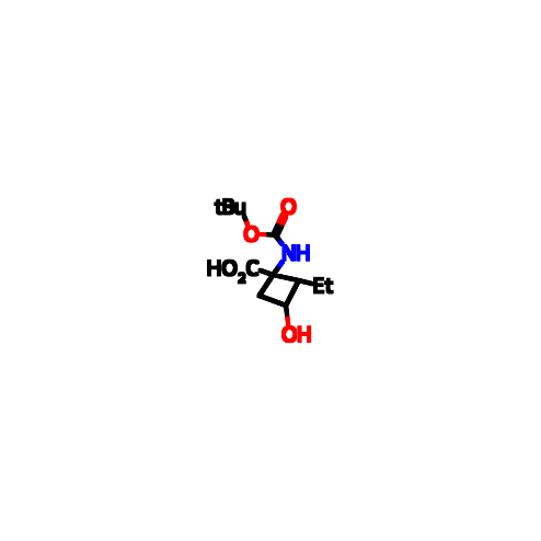 CCC1C(O)CC1(NC(=O)OC(C)(C)C)C(=O)O